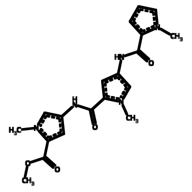 COC(=O)c1cc(NC(=O)c2cc(NC(=O)c3cccn3C)cn2C)cn1C